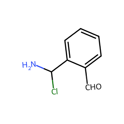 NC(Cl)c1ccccc1C=O